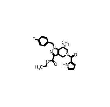 CCOC(=O)c1nn(Cc2ccc(F)cc2)c2c1CN(C(=O)c1ccc[nH]1)C[C@H]2C